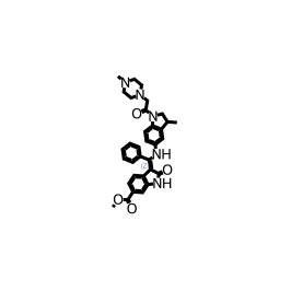 COC(=O)c1ccc2c(c1)NC(=O)/C2=C(\Nc1ccc2c(c1)C(C)CN2C(=O)CN1CCN(C)CC1)c1ccccc1